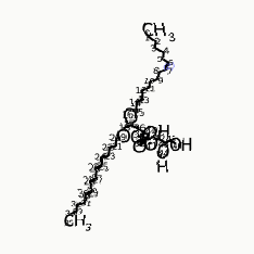 CCCCCC/C=C\CCCCCCCCOC(COCCCCCCCCCCCCCCCC)COP(=O)(O)OCC(O)CO